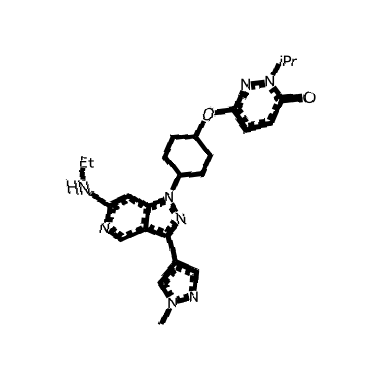 CCNc1cc2c(cn1)c(-c1cnn(C)c1)nn2C1CCC(Oc2ccc(=O)n(C(C)C)n2)CC1